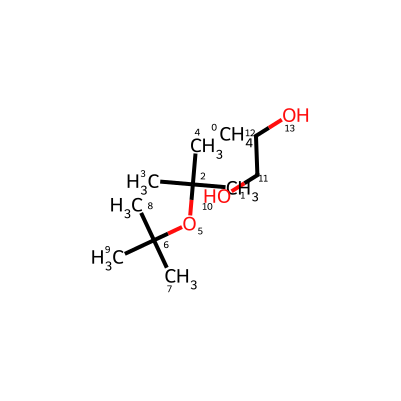 C.CC(C)(C)OC(C)(C)C.OCCO